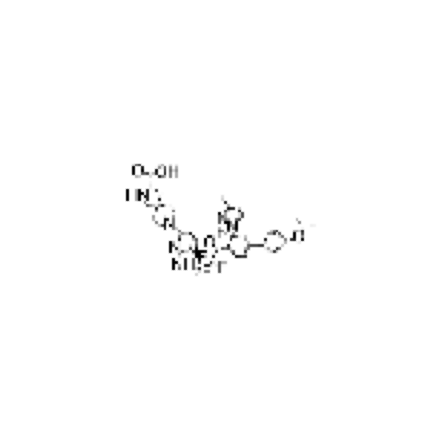 Cc1ccn(C2(F)CC(c3ccc(OC(C)C)cc3)=CC=C2C(Oc2cc(N3CCC4(CC3)CN[C@H](C(=O)O)C4)nc(N)n2)C(F)(F)F)n1